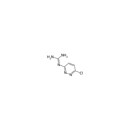 NC(N)=Nc1ccc(Cl)nn1